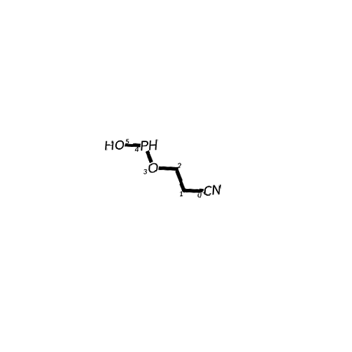 N#CCCOPO